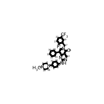 CN1CCN(c2ccc(Nc3ncc4c(=O)n(Cc5cc(C(F)(F)F)ccc5F)cc(-c5ccccc5)c4n3)cc2)CC1